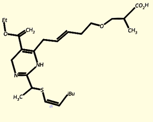 C=C(OCC)C1=C(CC=CCCOCC(C)C(=O)O)NC(C(C)S/C=C\C(C)CC)=NC1